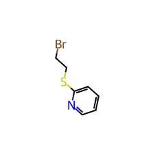 BrCCSc1ccccn1